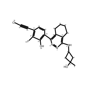 CC1(O)CC(Nc2nnc(-c3ccc(C#CCl)c(F)c3O)c3c2CCCC3)C1